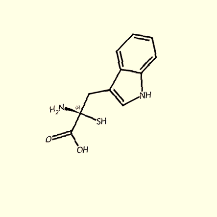 N[C@](S)(Cc1c[nH]c2ccccc12)C(=O)O